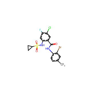 O=C(Nc1ccc(C(F)(F)F)cc1Br)c1cc(Cl)c(F)cc1NS(=O)(=O)C1CC1